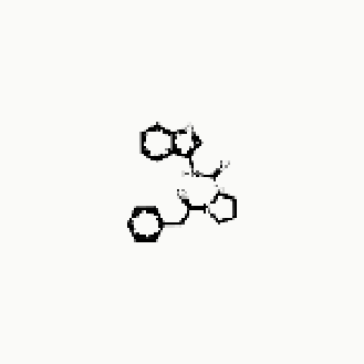 O=C(Nc1coc2ccccc12)[C@@H]1CCCN1C(=O)Cc1ccccc1